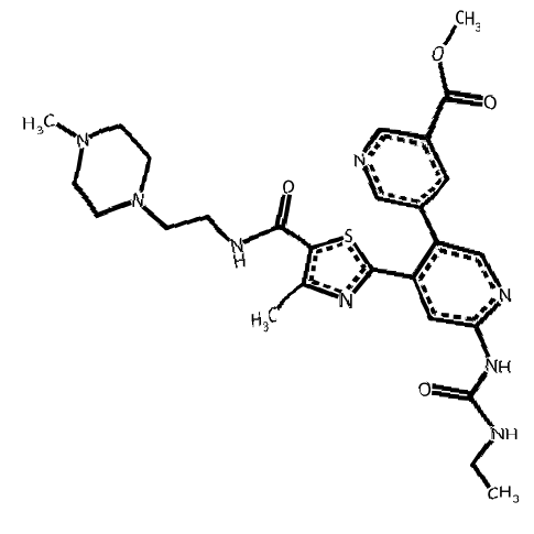 CCNC(=O)Nc1cc(-c2nc(C)c(C(=O)NCCN3CCN(C)CC3)s2)c(-c2cncc(C(=O)OC)c2)cn1